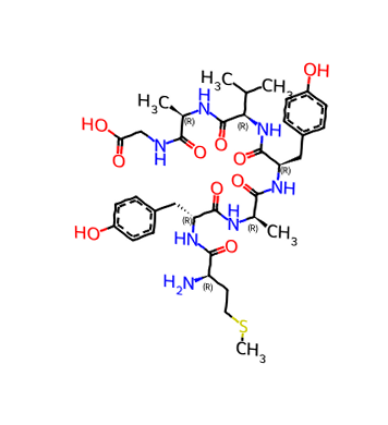 CSCC[C@@H](N)C(=O)N[C@H](Cc1ccc(O)cc1)C(=O)N[C@H](C)C(=O)N[C@H](Cc1ccc(O)cc1)C(=O)N[C@@H](C(=O)N[C@H](C)C(=O)NCC(=O)O)C(C)C